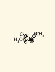 CCCN(C(=O)CCc1nc(-c2ccc(OC)cc2)no1)c1cncc(Cl)c1